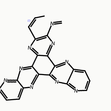 C=Nc1nc2c(nc1/C=C\C)c1nc3ncccc3nc1c1nc3ncccc3nc21